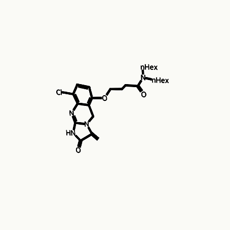 C=c1c(=O)[nH]c2n1Cc1c(OCCCC(=O)N(CCCCCC)CCCCCC)ccc(Cl)c1N=2